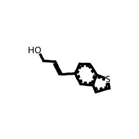 OCC=Cc1ccc2sccc2c1